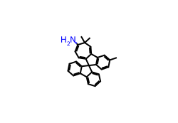 Cc1ccc2c(c1)C1=CC(C)(C)C(N)=CC=C1C21c2ccccc2-c2ccccc21